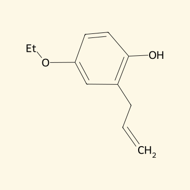 C=CCc1cc(OCC)ccc1O